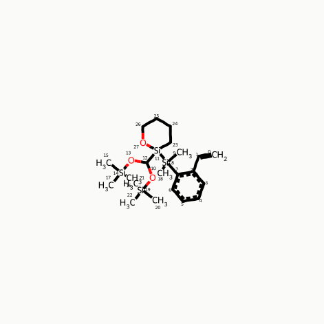 C=Cc1ccccc1[Si](C)(C)[Si]1(C(O[Si](C)(C)C)O[Si](C)(C)C)CCCCO1